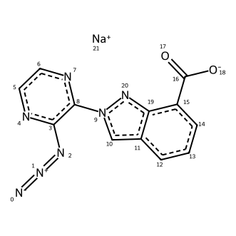 [N-]=[N+]=Nc1nccnc1-n1cc2cccc(C(=O)[O-])c2n1.[Na+]